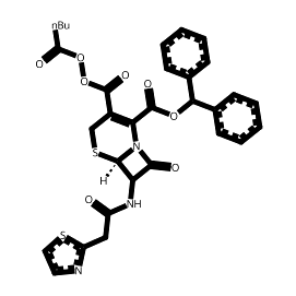 CCCCC(=O)OOC(=O)C1=C(C(=O)OC(c2ccccc2)c2ccccc2)N2C(=O)C(NC(=O)Cc3nccs3)[C@H]2SC1